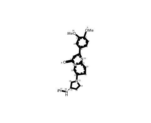 COc1ccc(-c2cc(=O)n3cc(N4CC[C@H](NC(C)C)C4)ccc3n2)cc1OC